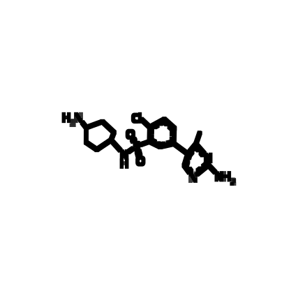 Cc1nc(N)ncc1-c1ccc(Cl)c(S(=O)(=O)NC2CCC(N)CC2)c1